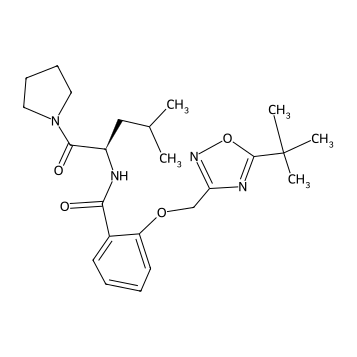 CC(C)C[C@@H](NC(=O)c1ccccc1OCc1noc(C(C)(C)C)n1)C(=O)N1CCCC1